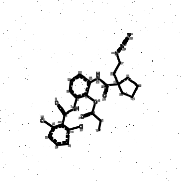 CCC(=O)Oc1c(NC(=O)c2c(Cl)cccc2Cl)cccc1NC(=O)C1(CCN=[N+]=[N-])CCCC1